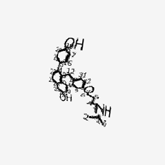 CC(C)NCCCOc1ccc(Cc2c(-c3ccc(O)cc3)ccc3cc(O)ccc23)cc1